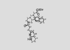 COC(=O)CC(CC1CCN(C(=O)CCc2ccc3c(n2)NCCC3)CC1)c1cnc2ccccc2c1